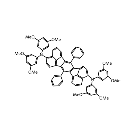 COc1cc(OC)cc(N(c2cc(OC)cc(OC)c2)c2ccc3c4c(-c5ccccc5)c5c6cccc7c(N(c8cc(OC)cc(OC)c8)c8cc(OC)cc(OC)c8)ccc(c5c(-c5ccccc5)c4c4cccc2c43)c76)c1